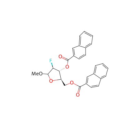 COC1O[C@H](COC(=O)c2ccc3ccccc3c2)[C@@H](OC(=O)c2ccc3ccccc3c2)[C@@H]1F